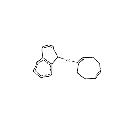 C1=CCC[C]([Co][CH]2C=Cc3ccccc32)=CCC1